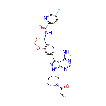 C=CC(=O)N1CCCC(n2nc(-c3ccc4c(c3)OCO[C@H]4NC(=O)c3ccc(F)cn3)c3c(N)ncnc32)C1